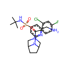 CC(C)(C)NS(=O)(=O)c1cc(CN)nc(N2C3CCC2CN(C(=O)c2ccc(F)cc2Cl)C3)c1